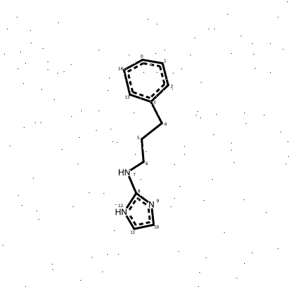 c1ccc(CCCNc2ncc[nH]2)cc1